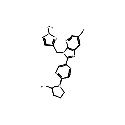 CC1CCCN1c1ccc(-c2nc3cc(F)cnc3n2Cc2ccn(C)n2)cn1